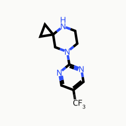 FC(F)(F)c1cnc(N2CCNC3(CC3)C2)nc1